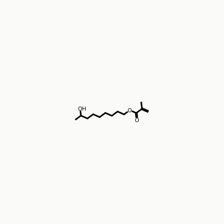 C=C(C)C(=O)OCCCCCCCC(C)O